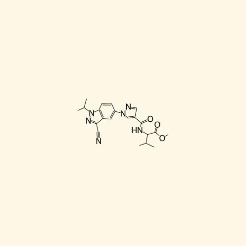 COC(=O)C(NC(=O)c1cnn(-c2ccc3c(c2)c(C#N)nn3C(C)C)c1)C(C)C